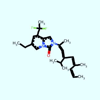 C/C=C\C(C)=CC(=C=C(C)n1cc2c(C(C)(F)F)cc(CC)cn2c1=O)C(C)C